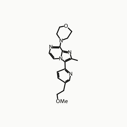 COCCc1ccc(-c2c(C)nc3c(N4CCOCC4)nccn23)nc1